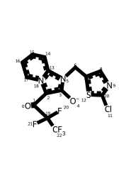 O=C(c1c([O-])n(Cc2cnc(Cl)s2)c2cccc[n+]12)C(F)(F)C(F)(F)F